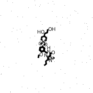 CCCc1nn(C)c2c(=O)[nH]c(-c3cc(S(=O)(=O)N4CCC(C(O)CCO)CC4)ccc3OCC)nc12